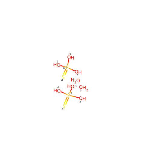 O.O.OP(O)(O)=S.OP(O)(O)=S